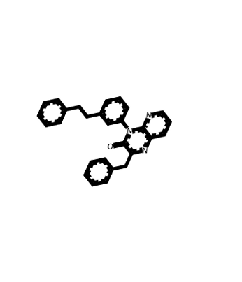 O=c1c(Cc2ccccc2)nc2cccnc2n1-c1cccc(CCc2ccccc2)c1